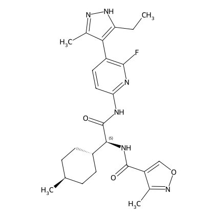 CCc1[nH]nc(C)c1-c1ccc(NC(=O)[C@@H](NC(=O)c2conc2C)[C@H]2CC[C@H](C)CC2)nc1F